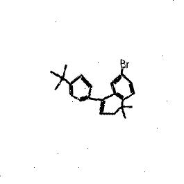 CC(C)(C)c1ccc(C2=CCC(C)(C)c3ccc(Br)cc32)cc1